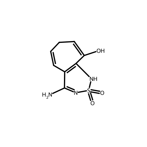 NC1=NS(=O)(=O)NC2=C1C=CCC=C2O